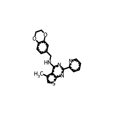 Cc1csc2nc(-c3ccccn3)nc(NCc3ccc4c(c3)OCCO4)c12